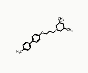 Cc1ccc(-c2ccc(OCCCN3CC(C)C[C@H](C)C3)cc2)cc1